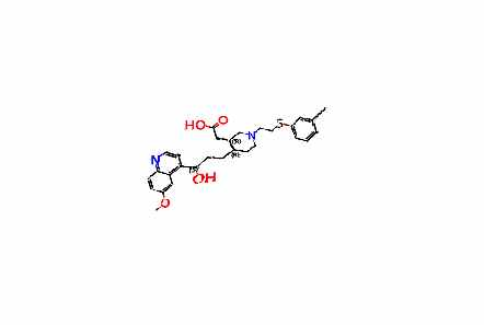 COc1ccc2nccc([C@@H](O)CC[C@@H]3CCN(CCSc4cccc(C)c4)C[C@@H]3CC(=O)O)c2c1